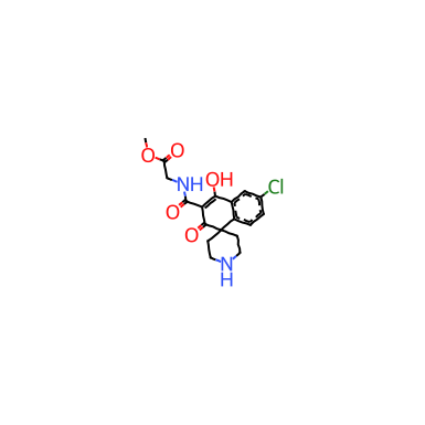 COC(=O)CNC(=O)C1=C(O)c2cc(Cl)ccc2C2(CCNCC2)C1=O